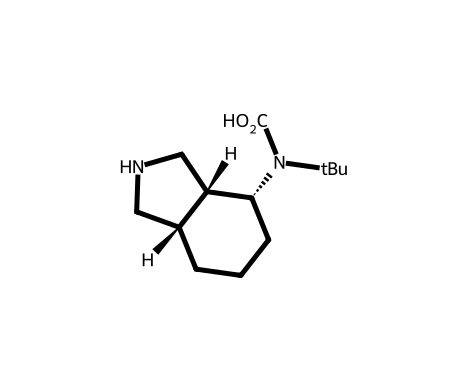 CC(C)(C)N(C(=O)O)[C@@H]1CCC[C@@H]2CNC[C@@H]21